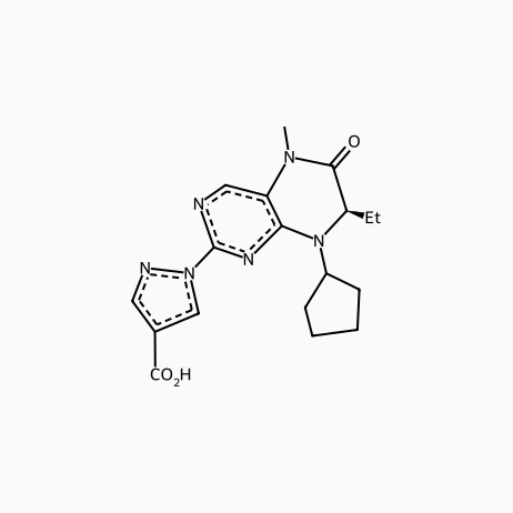 CC[C@@H]1C(=O)N(C)c2cnc(-n3cc(C(=O)O)cn3)nc2N1C1CCCC1